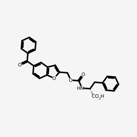 O=C(N[C@H](Cc1ccccc1)C(=O)O)OCc1cc2cc(C(=O)c3ccccc3)ccc2o1